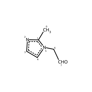 Cc1nccn1CC=O